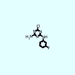 Nc1nc(Cl)nc(Nc2cccc(F)c2)n1